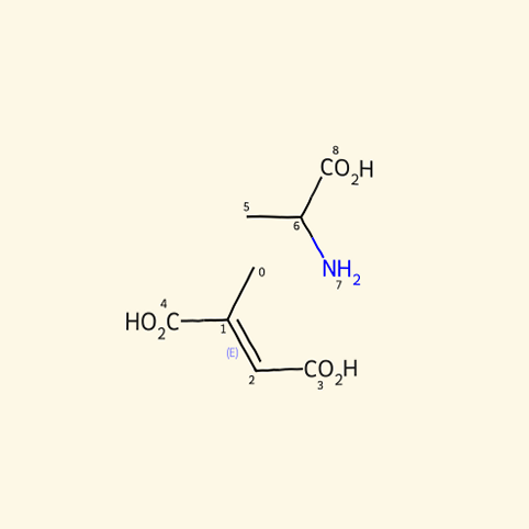 C/C(=C\C(=O)O)C(=O)O.CC(N)C(=O)O